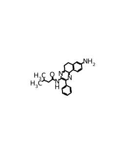 CC(C)CC(=O)Nc1nc2c(nc1-c1ccccc1)-c1ccc(N)cc1CC2